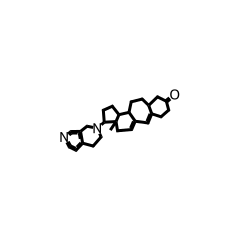 CC12CC=C3C=C4CCC(=O)CC4CCC3C1CCC2N1CCc2ccncc2C1